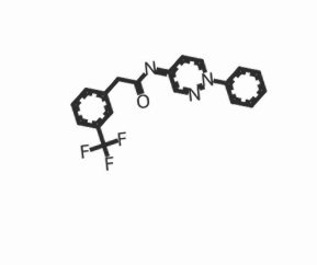 O=C(Cc1cccc(C(F)(F)F)c1)/N=c1/ccn(-c2ccccc2)nc1